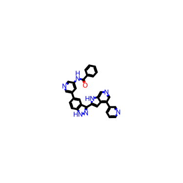 O=C(Nc1cncc(-c2ccc3[nH]nc(-c4cc5c(-c6cccnc6)cncc5[nH]4)c3c2)c1)c1ccccc1